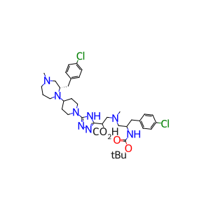 CN(CC(Cc1ccc(Cl)cc1)NC(=O)OC(C)(C)C)CC(C(=O)O)c1nnc(N2CCC(N3CCCN(C)C[C@@H]3Cc3ccc(Cl)cc3)CC2)[nH]1